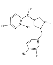 C=C1CN([S+]([O-])c2ccc(Cl)cc2Cl)CC1Cc1ccc(C#N)c(F)c1